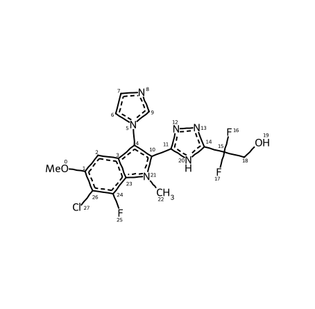 COc1cc2c(-n3ccnc3)c(-c3nnc(C(F)(F)CO)[nH]3)n(C)c2c(F)c1Cl